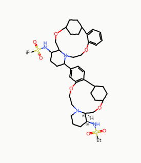 CCS(=O)(=O)N[C@H]1CCCN2CCOc3cc(C4CCC(NS(=O)(=O)C(C)C)C5COC6CCC(CC6)c6ccccc6OCCN45)ccc3C3CCC(CC3)OC[C@@H]12